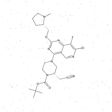 CN1CCC[C@H]1COc1nc(N2CCN(C(=O)OC(C)(C)C)[C@@H](CC#N)C2)c2cnc(Cl)c(F)c2n1